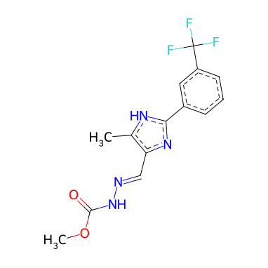 COC(=O)NN=Cc1nc(-c2cccc(C(F)(F)F)c2)[nH]c1C